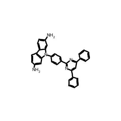 Nc1ccc2c3ccc(N)cc3n(-c3ccc(-c4nc(-c5ccccc5)cc(-c5ccccc5)n4)cc3)c2c1